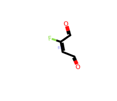 O=C/C=C(/F)C=O